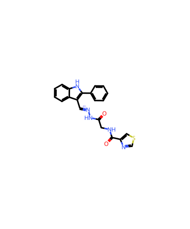 O=C(CNC(=O)c1cscn1)N/N=C/c1c(-c2ccccc2)[nH]c2ccccc12